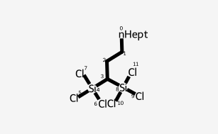 CCCCCCCCCC([Si](Cl)(Cl)Cl)[Si](Cl)(Cl)Cl